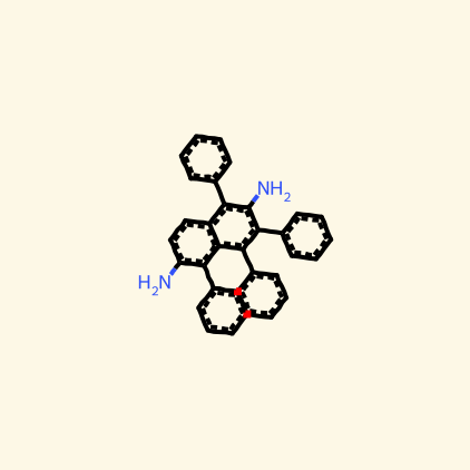 Nc1ccc2c(-c3ccccc3)c(N)c(-c3ccccc3)c(-c3ccccc3)c2c1-c1ccccc1